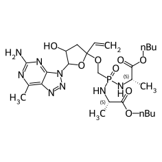 C=CC1(OCP(=O)(N[C@@H](C)C(=O)OCCCC)N[C@@H](C)C(=O)OCCCC)CC(O)C(n2nnc3c(C)nc(N)nc32)O1